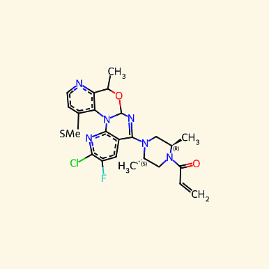 C=CC(=O)N1C[C@H](C)N(C2=NC3OC(C)c4nccc(SC)c4N3c3nc(Cl)c(F)cc32)C[C@H]1C